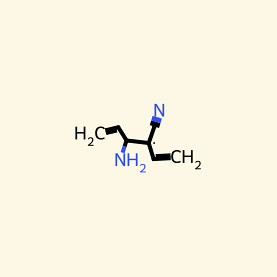 C=C[C](C#N)C(N)C=C